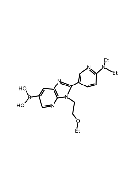 CCOCCn1c(-c2ccc(N(CC)CC)nc2)nc2cc(B(O)O)cnc21